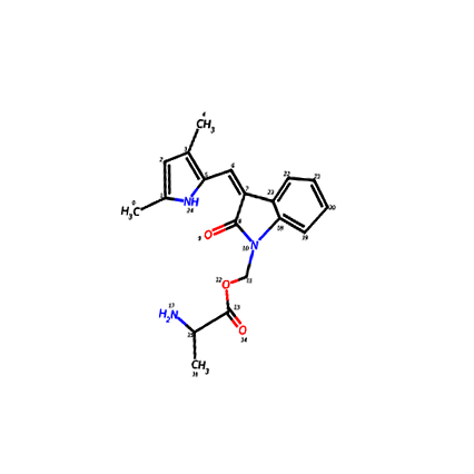 Cc1cc(C)c(/C=C2\C(=O)N(COC(=O)C(C)N)c3ccccc32)[nH]1